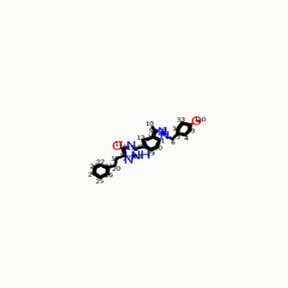 COc1ccc(Cn2nc(C)c3cc(-c4nc(=O)c(CCc5ccccc5)n[nH]4)ccc32)cc1